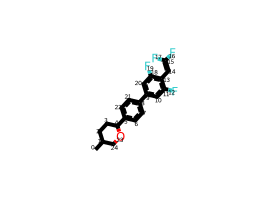 CC1CCC(c2ccc(-c3cc(F)c(C=C(F)F)c(F)c3)cc2)OC1